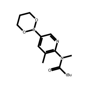 Cc1cc(B2OCCCO2)cnc1N(C)C(=O)C(C)(C)C